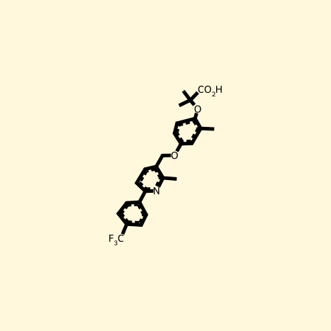 Cc1cc(OCc2ccc(-c3ccc(C(F)(F)F)cc3)nc2C)ccc1OC(C)(C)C(=O)O